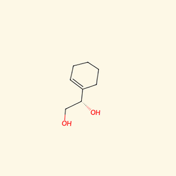 OC[C@@H](O)C1=CCCCC1